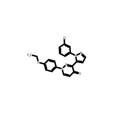 O=c1ccn(-c2ccc(OCC(F)(F)F)cc2)nc1-c1ccnn1-c1cccc(Cl)c1